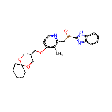 Cc1c(OCC2COC3(CCCCC3)OC2)ccnc1C[S+]([O-])c1nc2ccccc2[nH]1